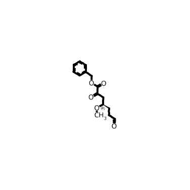 CO[C@H](CCC=O)CC(=O)C(=O)OCc1ccccc1